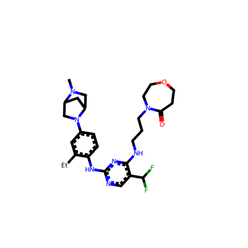 CCc1cc(N2CC3CC2CN3C)ccc1Nc1ncc(C(F)F)c(NCCCN2CCOCCC2=O)n1